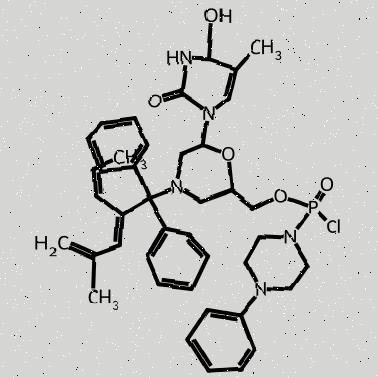 C=C(C)/C=C(\C=C/C)C(c1ccccc1)(c1ccccc1)N1CC(COP(=O)(Cl)N2CCN(c3ccccc3)CC2)OC(N2C=C(C)C(O)NC2=O)C1